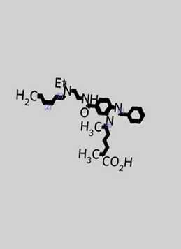 C=C/C=C\C=C\N(CC)CCNC(=O)c1ccc(/N=C/C2C=CC=CC2)c(/N=C(\C)CCCC(C)C(=O)O)c1